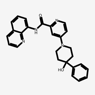 O=C(Nc1cccc2cccnc12)c1cc(N2CCC(O)(c3ccccc3)CC2)ccn1